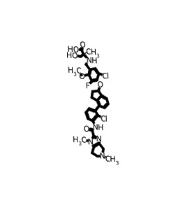 COc1c(CN[C@@](C)(CO)C(=O)O)cc(Cl)c(OC2CCc3c(-c4cccc(NC(=O)c5nc6c(n5C)CCN(C)C6)c4Cl)cccc32)c1F